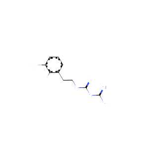 Bc1cccc(CCNC(=N)NC(=N)N)c1B